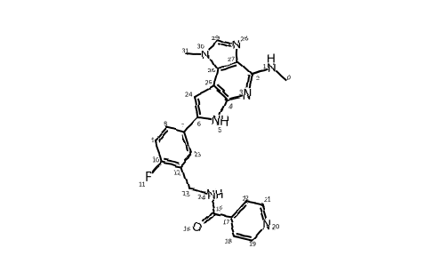 CNc1nc2[nH]c(-c3ccc(F)c(CNC(=O)c4ccncc4)c3)cc2c2c1ncn2C